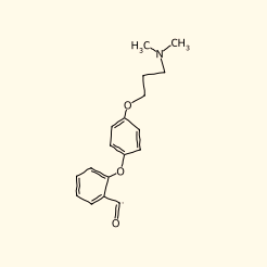 CN(C)CCCOc1ccc(Oc2ccccc2[C]=O)cc1